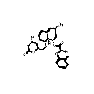 CCC(Oc1ccccc1C)C(=O)O[C@H]1C[C@H](O)C=C2C=C[C@H](C)[C@H](CC[C@@H]3C[C@@H](O)CC(=O)O3)[C@H]21